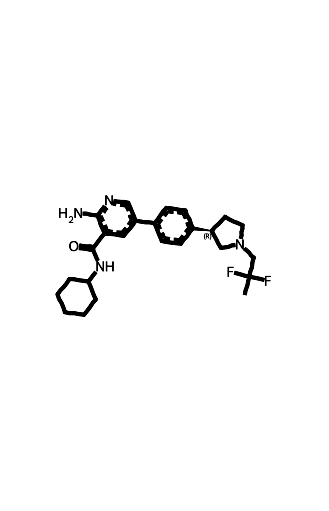 CC(F)(F)CN1CC[C@H](c2ccc(-c3cnc(N)c(C(=O)NC4CCCCC4)c3)cc2)C1